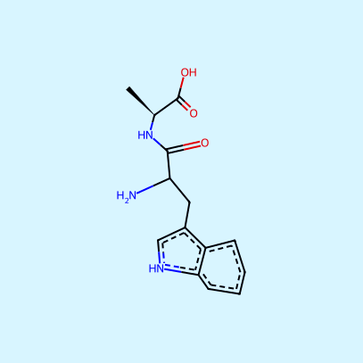 C[C@H](NC(=O)C(N)Cc1c[nH]c2ccccc12)C(=O)O